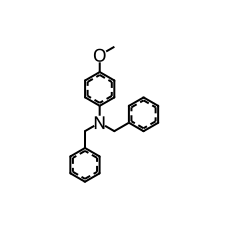 COc1ccc(N(Cc2ccccc2)Cc2ccccc2)cc1